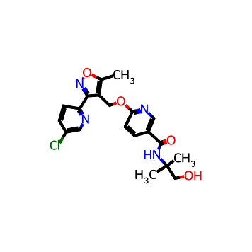 Cc1onc(-c2ccc(Cl)cn2)c1COc1ccc(C(=O)NC(C)(C)CO)cn1